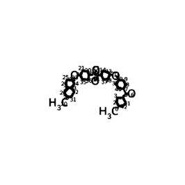 Cc1ccc(C(=O)c2ccc(Oc3ccc(S(=O)(=O)c4ccc(Oc5ccc6cc(C)ccc6c5)cc4)cc3)cc2)cc1